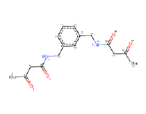 CC(C)(C)C(=O)CC(=O)NCc1cccc(CNC(=O)CC(=O)C(C)(C)C)c1